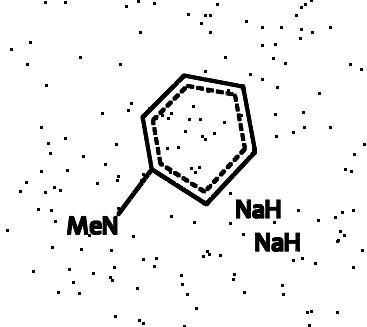 CNc1ccccc1.[NaH].[NaH]